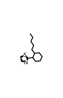 CCCCCC1CCCCC1c1nccs1